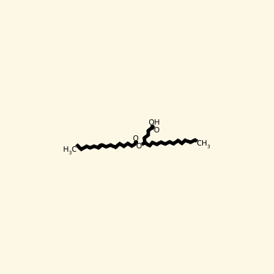 CCCCCCC=CCCCCCCCC(=O)OC(CCCCCCCCCCCCC)CCCC(=O)O